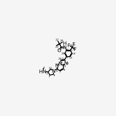 CNC1CCN(c2ccc3nc(-c4ccc(C(F)(F)F)c(NC(=O)C(C)(C)C)c4)cn3n2)C1